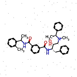 Cc1ccccc1C(C)NC(=O)c1cccc(C(=O)N[C@@H](Cc2ccccc2)[C@H](O)CN(C)[C@@H](C)c2ccccc2)c1